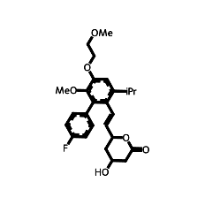 COCCOc1cc(C(C)C)c(C=CC2CC(O)CC(=O)O2)c(-c2ccc(F)cc2)c1OC